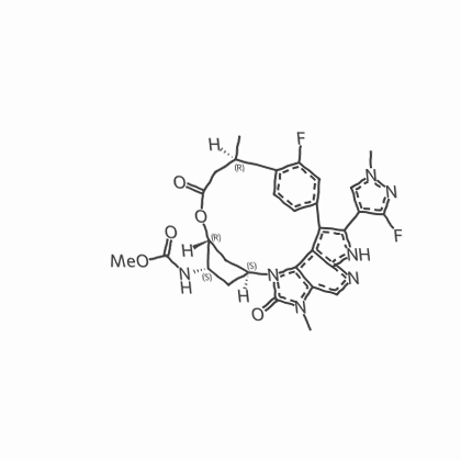 COC(=O)N[C@H]1C[C@H]2C[C@H]1OC(=O)C[C@@H](C)c1ccc(cc1F)-c1c(-c3cn(C)nc3F)[nH]c3ncc4c(c13)n2c(=O)n4C